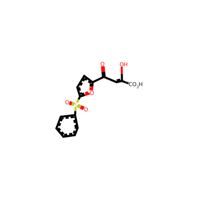 O=C(O)C(O)=CC(=O)c1ccc(S(=O)(=O)c2ccccc2)o1